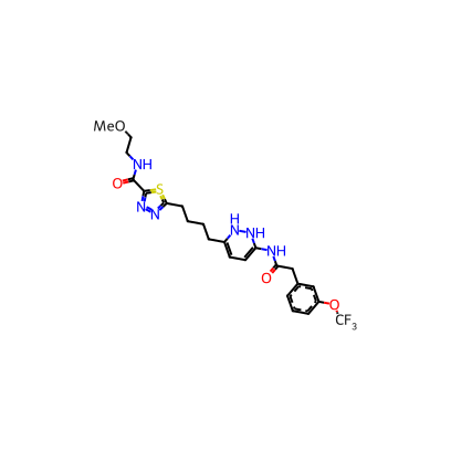 COCCNC(=O)c1nnc(CCCCC2=CC=C(NC(=O)Cc3cccc(OC(F)(F)F)c3)NN2)s1